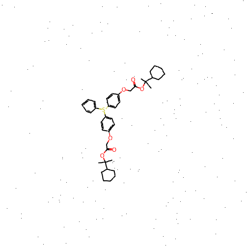 CC(C)(OC(=O)COc1ccc([S+](c2ccccc2)c2ccc(OCC(=O)OC(C)(C)C3CCCCC3)cc2)cc1)C1CCCCC1